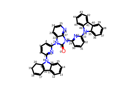 O=c1n(-c2cccc(-n3c4c(c5ccccc53)C=CCC4)n2)c2cccnc2n1-c1cccc(-n2c3ccccc3c3ccccc32)n1